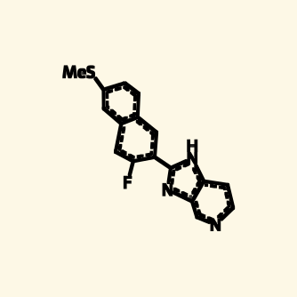 CSc1ccc2cc(-c3nc4cnccc4[nH]3)c(F)cc2c1